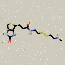 CNCCSSCCNC(=O)CCC1SCC2NC(=O)NC21